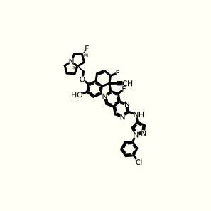 C#CC1(c2ncc3cnc(Nc4cnn(-c5cccc(Cl)c5)c4)nc3c2F)c2ccc(O)c(OC[C@@]34CCCN3C[C@H](F)C4)c2C=CC1F